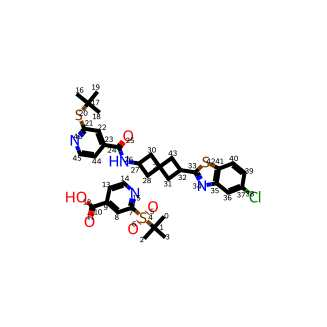 CC(C)(C)S(=O)(=O)c1cc(C(=O)O)ccn1.CC(C)(C)Sc1cc(C(=O)NC2CC3(C2)CC(c2nc4cc(Cl)ccc4s2)C3)ccn1